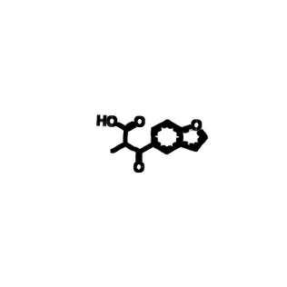 CC(C(=O)O)C(=O)c1ccc2occc2c1